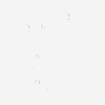 CC(=O)NC[C@H]1CN(c2ccc([N+]3(C#N)CCC(=CNC=O)CC3)c(F)c2)C(=O)O1